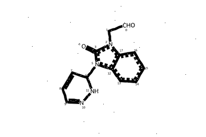 O=CCn1c(=O)n(C2C=CC=NN2)c2ccccc21